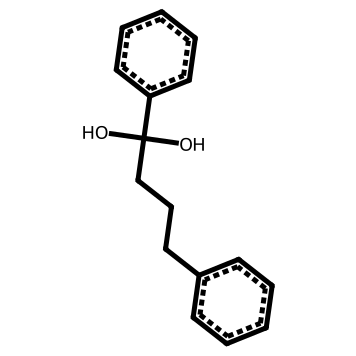 OC(O)(CCCc1ccccc1)c1ccccc1